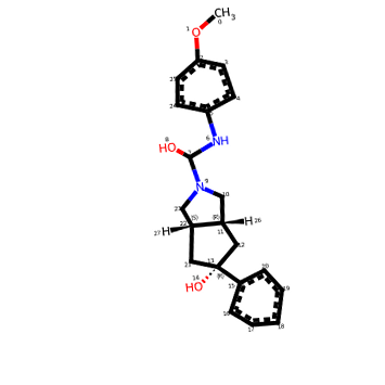 COc1ccc(NC(O)N2C[C@@H]3C[C@@](O)(c4ccccc4)C[C@@H]3C2)cc1